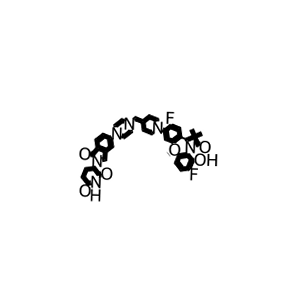 COc1cc(N2CCC(CN3CCN(c4ccc5c(c4)CN([C@H]4CCC(=O)NC4=O)C5=O)CC3)CC2)c(F)cc1[C@@H]1N(c2cccc(F)c2O)C(=O)C1(C)C